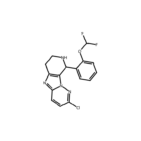 FC(F)Oc1ccccc1C1NCCc2nc3ccc(Cl)nn3c21